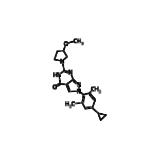 COC1CCN(c2nc3nn(-c4c(C)cc(C5CC5)cc4C)cc3c(=O)[nH]2)C1